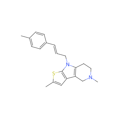 Cc1ccc(C=CCn2c3c(c4cc(C)sc42)CN(C)CC3)cc1